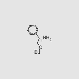 CCC(C)OC[C@@H](N)c1ccccc1